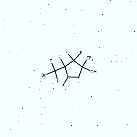 CCC(C)C(F)(F)C1(F)C(C)CC(O)(C(F)(F)F)C1(F)F